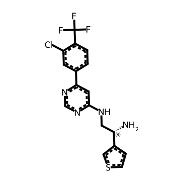 N[C@@H](CNc1cc(-c2ccc(C(F)(F)F)c(Cl)c2)ncn1)c1ccsc1